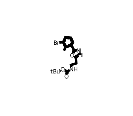 Cc1c(Br)cccc1-c1nnc(CCNC(=O)OC(C)(C)C)o1